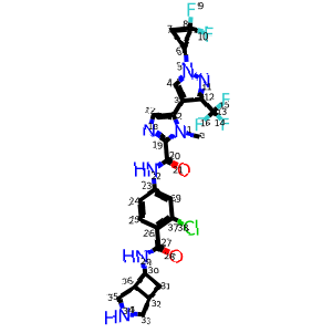 Cn1c(-c2cn(C3CC3(F)F)nc2C(F)(F)F)cnc1C(=O)Nc1ccc(C(=O)NC2CC3CNCC32)c(Cl)c1